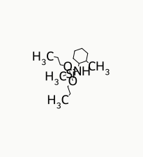 CCCO[Si](C)(NC1CCCCC1C)OCCC